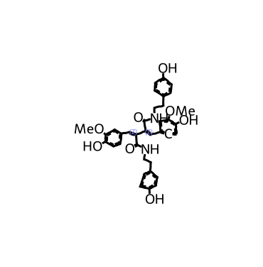 COc1cc(/C=C(C(=O)NCCc2ccc(O)cc2)/C(=C/c2ccc(O)c(OC)c2)C(=O)NCCc2ccc(O)cc2)ccc1O